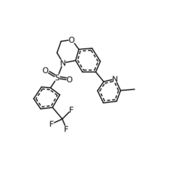 Cc1cccc(-c2ccc3c(c2)N(S(=O)(=O)c2cccc(C(F)(F)F)c2)CCO3)n1